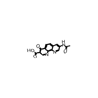 CC(=O)Nc1cnc2c3c(ccc2c1)C(=O)C(C(=O)O)C=N3